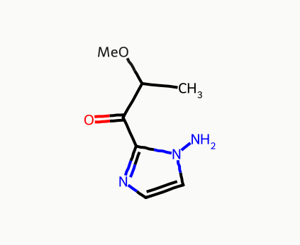 COC(C)C(=O)c1nccn1N